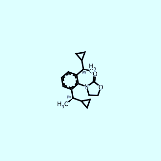 C[C@@H](c1cccc([C@H](C)C2CC2)c1N1CCOC1=O)C1CC1